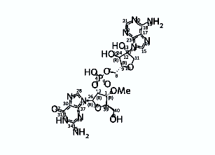 CO[C@H]1[C@@H](OP(=O)(O)OC[C@H]2OC[C@](O)(n3cnc4c(N)ncnc43)[C@@H]2O)[C@H](n2cnc3c(=O)[nH]c(N)nc32)O[C@@H]1CO